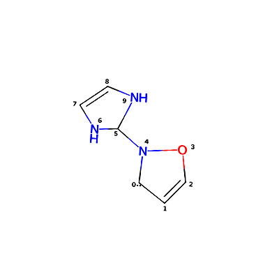 [C]1C=CON1C1NC=CN1